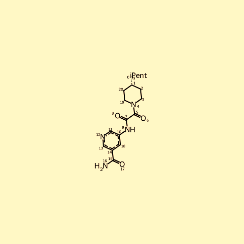 CCC[C@@H](C)C1CCN(C(=O)C(=O)Nc2cncc(C(N)=O)c2)CC1